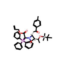 C=CCOC(=O)C(N1C(=O)[C@H](C(C)O[Si](C)(C)C(C)(C)C)[C@H]1CC(=O)c1ccc(C)cc1)=P(c1ccccc1)(c1ccccc1)c1ccccc1